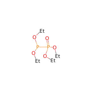 CCOP(OCC)P(=O)(OCC)OCC